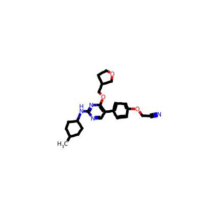 CC1CCC(Nc2ncc(-c3ccc(OCC#N)cc3)c(OCC3CCOC3)n2)CC1